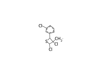 [CH2]C1(Cl)C(Cl)SC1c1cccc(Cl)c1